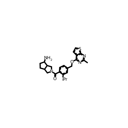 Cc1nc(OCc2ccc(C(=O)N3CC4CCC(N)C4C3)c(C(C)C)c2)c2ccsc2n1